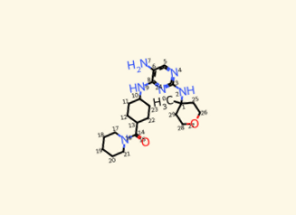 CC1(Nc2ncc(N)c(NC3CCC(C(=O)N4CCCCC4)CC3)n2)CCOCC1